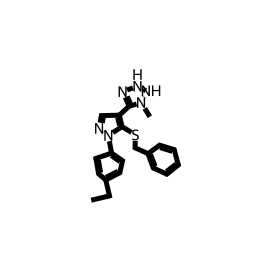 CCc1ccc(-n2ncc(C3=NNNN3C)c2SCc2ccccc2)cc1